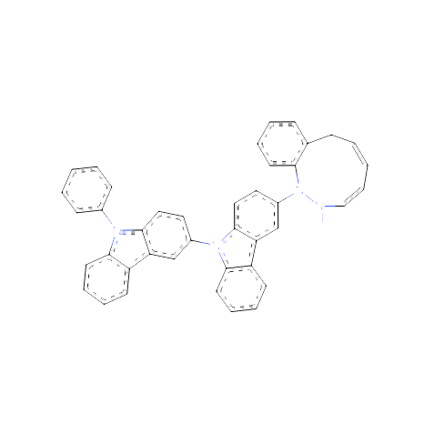 C1=C\Cc2ccccc2N(c2ccc3c(c2)c2ccccc2n3-c2ccc3c(c2)c2ccccc2n3-c2ccccc2)N\C=C/1